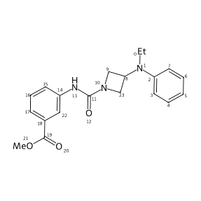 CCN(c1ccccc1)C1CN(C(=O)Nc2cccc(C(=O)OC)c2)C1